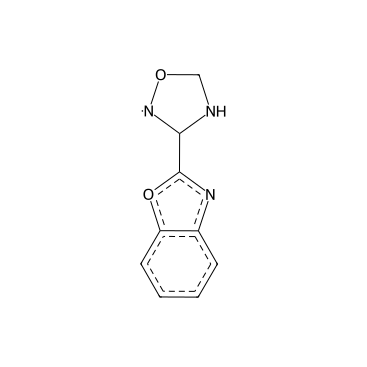 c1ccc2oc(C3[N]OCN3)nc2c1